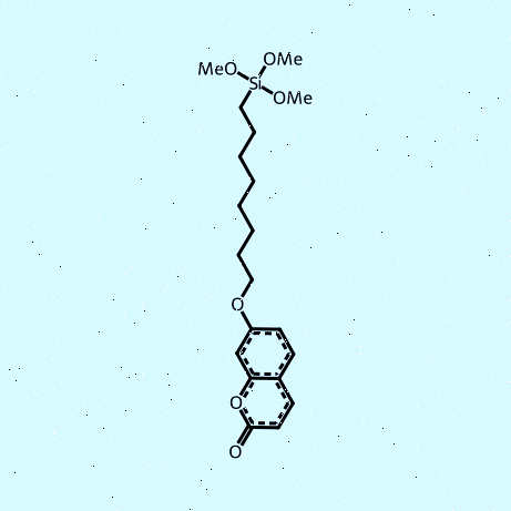 CO[Si](CCCCCCCCOc1ccc2ccc(=O)oc2c1)(OC)OC